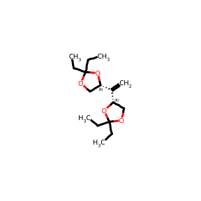 C=C([C@@H]1COC(CC)(CC)O1)[C@@H]1COC(CC)(CC)O1